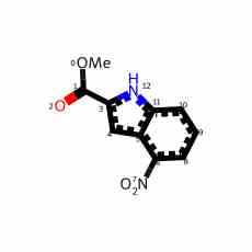 COC(=O)c1cc2c([N+](=O)[O-])cccc2[nH]1